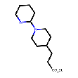 CCOC(=O)CCC1CCN(C2CCCC[N]2)CC1